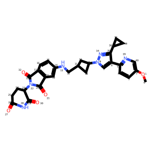 COc1ccc(-c2cn(C3CC(CNc4ccc5c(c4)C(=O)N(C4CCC(=O)NC4=O)C5=O)C3)nc2C2CC2)nc1